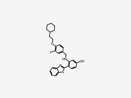 Oc1ccc(-c2nc3ccccc3s2)c(NCc2ccc(OCCN3CCCCC3)c(F)c2)c1